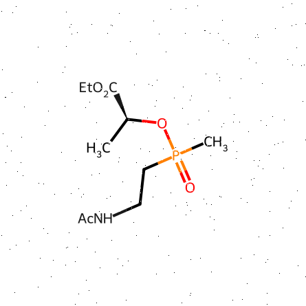 CCOC(=O)[C@H](C)OP(C)(=O)CCNC(C)=O